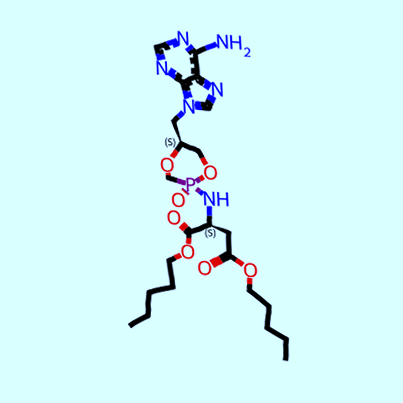 CCCCCOC(=O)C[C@H](NP1(=O)CO[C@@H](Cn2cnc3c(N)ncnc32)CO1)C(=O)OCCCCC